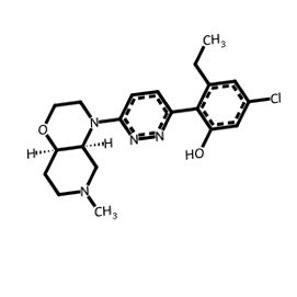 CCc1cc(Cl)cc(O)c1-c1ccc(N2CCO[C@@H]3CCN(C)C[C@@H]32)nn1